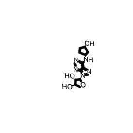 O[C@H]1CC[C@@H](Nc2ncnc3c2ncn3[C@@H]2OC[C@@H](O)[C@H]2O)C1